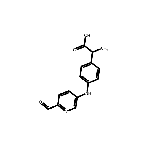 CC(C(=O)O)c1ccc(Nc2ccc(C=O)nc2)cc1